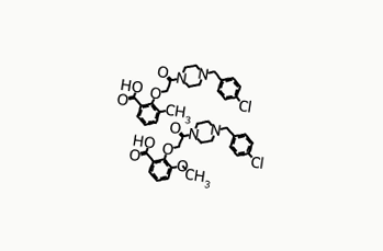 COc1cccc(C(=O)O)c1OCC(=O)N1CCN(Cc2ccc(Cl)cc2)CC1.Cc1cccc(C(=O)O)c1OCC(=O)N1CCN(Cc2ccc(Cl)cc2)CC1